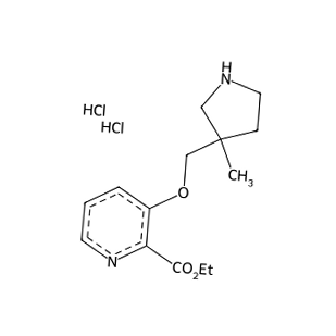 CCOC(=O)c1ncccc1OCC1(C)CCNC1.Cl.Cl